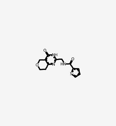 O=C(NCc1nc2c(c(=O)[nH]1)COCC2)c1cccs1